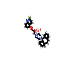 OC(COc1cccc2nc(F)ccc12)CN1CCN(C2c3ccccc3CCc3ccccc32)CC1